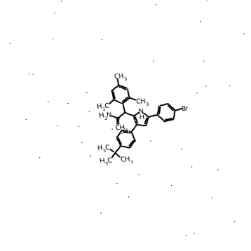 C=C(N)C(c1[nH]c(-c2ccc(Br)cc2)cc1-c1ccc(C(C)(C)C)cc1)c1c(C)cc(C)cc1C